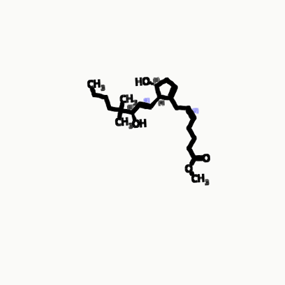 CCCCC(C)(C)[C@H](O)/C=C/[C@@H]1C(C/C=C\CCCC(=O)OC)=CC[C@H]1O